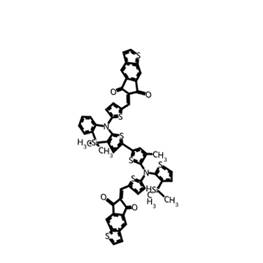 Cc1cc(-c2cc3c(s2)N(c2ccc(/C=C4\C(=O)c5cc6ccsc6cc5C4=O)s2)c2ccccc2[Si]3(C)C)sc1N(c1ccc(/C=C2\C(=O)c3cc4ccsc4cc3C2=O)s1)c1sccc1[SiH](C)C